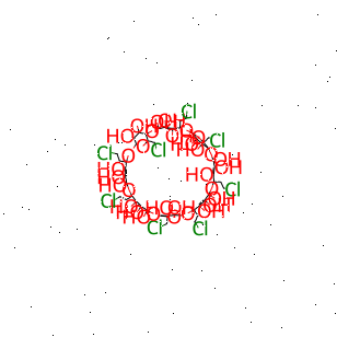 O/C1=C(\O)C(CCCl)OC(O)/C(O)=C(/O)C(CCCl)OC2OC(CCl)C(OC(O)/C(O)=C(\O)C(CCCl)OC3OC(CCl)C(OC(O)/C(O)=C(\O)C(CCCl)OC(O)/C(O)=C(/O)C(CCCl)OC4OC(CCl)C(OC1O)C(O)C4O)C(O)C3O)C(O)C2O